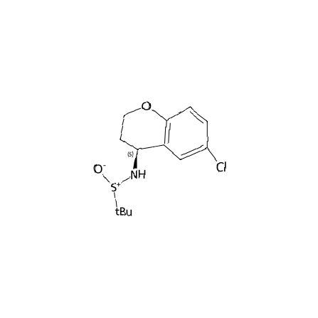 CC(C)(C)[S+]([O-])N[C@H]1CCOc2ccc(Cl)cc21